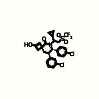 O=C1N(C(CS(=O)(=O)C(F)(F)F)C2CC2)[C@H](c2ccc(Cl)cc2)[C@@H](c2cccc(Cl)c2)C[C@@]12C=C(O)C2